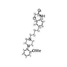 COc1ccccc1N1CCN(CCCCc2ccc3c(c2)OCC(=O)N3)CC1